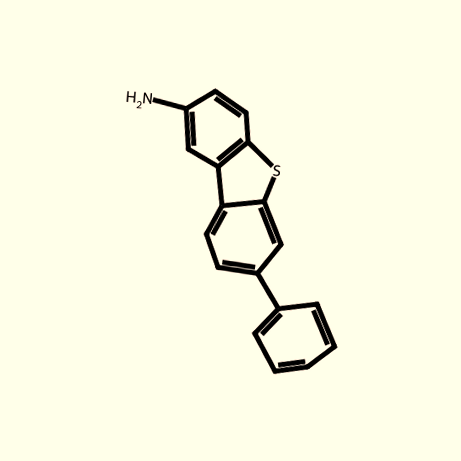 Nc1ccc2sc3cc(-c4ccccc4)ccc3c2c1